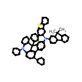 CC1(C)c2ccccc2-c2ccc(N(c3ccc4c(c3)C3(c5ccccc5)c5ccccc5N(c5ccccc5)c5ccc(-c6ccccc6)c-4c53)c3ccc4sc5ccccc5c4c3)cc21